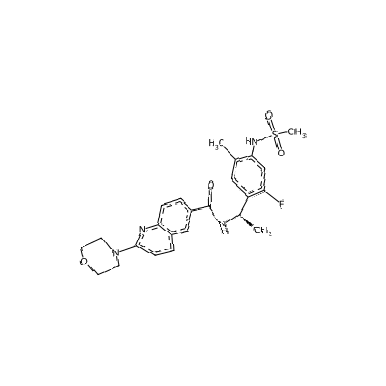 Cc1cc([C@@H](C)NC(=O)c2ccc3nc(N4CCOCC4)ccc3c2)c(F)cc1NS(C)(=O)=O